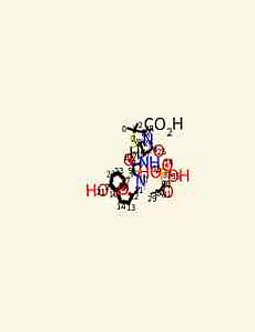 CC1(C)S[C@@H]2[C@H](NC(=O)[C@H](/N=C\c3ccco3)c3ccc(O)cc3)C(=O)N2[C@H]1C(=O)O.C[C@@H]1O[C@@H]1P(=O)(O)O